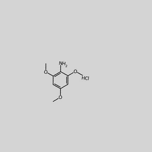 COc1cc(OC)c(N)c(OC)c1.Cl